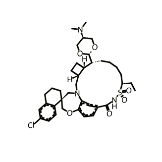 CC[C@@H]1CCCC[C@@H]([C@H]2OC[C@H](N(C)C)CO2)[C@H]2CC[C@H]2CN2C[C@@]3(CCCc4cc(Cl)ccc43)COc3ccc(cc32)C(=O)NS1(=O)=O